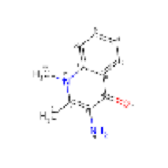 Cc1c(N)c(=O)c2ccccc2n1C